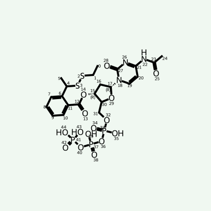 CCSSC(C)c1ccccc1C(=O)O[C@@H]1C[C@H](n2ccc(NC(C)=O)nc2=O)OC1COP(=O)(O)OP(=O)(O)OP(=O)(O)O